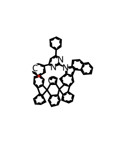 c1ccc(-c2cc(-c3ccccc3)nc(-n3c4cc5c(cc4c4c6ccccc6ccc43)-c3ccccc3C53c4ccccc4C4(c5ccccc5-c5ccccc54)c4ccccc43)n2)cc1